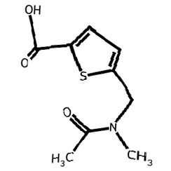 CC(=O)N(C)Cc1ccc(C(=O)O)s1